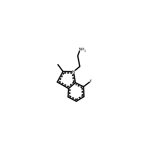 Cc1cc2cccc(F)c2n1CCN